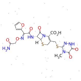 Cn1c(SCC2=C(C(=O)O)N3C(=O)[C@@H](NC(=O)C(=NOCC(N)=O)c4ccco4)[C@@H]3SC2)n[nH]c(=O)c1=O